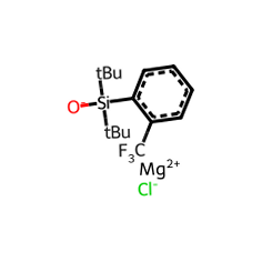 CC(C)(C)[Si]([O-])(c1ccccc1C(F)(F)F)C(C)(C)C.[Cl-].[Mg+2]